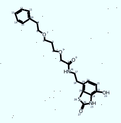 O=C(COCCCOCCc1ccccc1)NCCc1ccc(O)c2[nH]c(=O)sc12